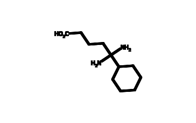 NC(N)(CCCC(=O)O)C1CCCCC1